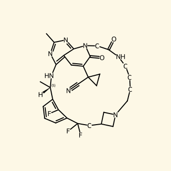 Cc1nc2c3cc(C4(C#N)CC4)c(=O)n(c3n1)CC(=O)NCCCCN1CC(C1)CC(F)(F)c1cccc(c1F)[C@H](C)N2